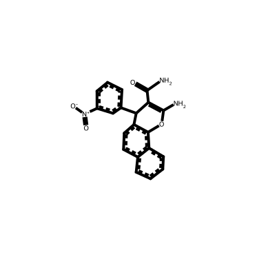 NC(=O)C1=C(N)Oc2c(ccc3ccccc23)C1c1cccc([N+](=O)[O-])c1